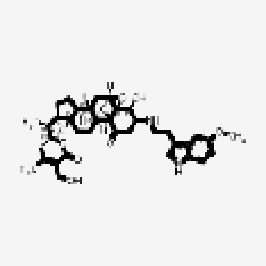 COc1ccc2[nH]cc(CCNC3CC(=O)[C@]4(C)[C@H]5CC[C@]6(C)[C@@H]([C@H](C)[C@H]7CC(C)=C(CO)C(=O)O7)CC[C@H]6[C@@H]5C[C@H]5O[C@]54[C@H]3O)c2c1